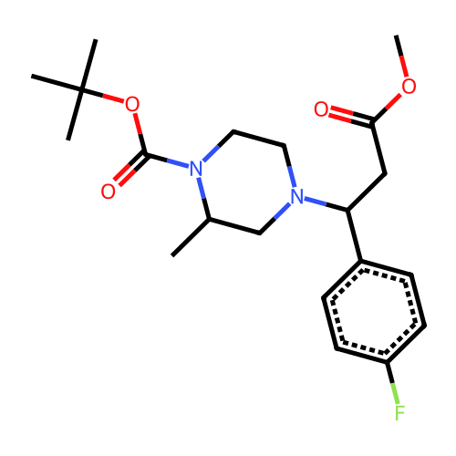 COC(=O)CC(c1ccc(F)cc1)N1CCN(C(=O)OC(C)(C)C)C(C)C1